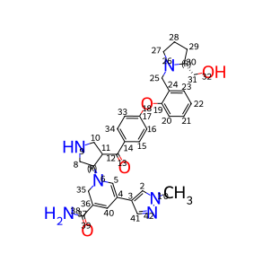 Cn1cc(C2=CN([C@H]3CNCC3C(=O)c3ccc(Oc4ccccc4CN4CCC[C@@H]4CO)cc3)CC(C(N)=O)=C2)cn1